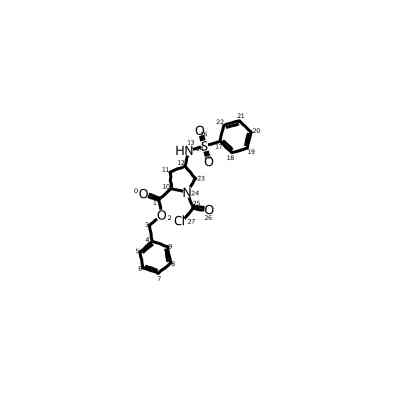 O=C(OCc1ccccc1)C1CC(NS(=O)(=O)c2ccccc2)CN1C(=O)Cl